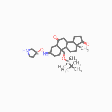 CC12CCC3C(CC(=O)C4C/C(=N\O[C@H]5CCNC5)CCC43CO[Si](C)(C)C(C)(C)C)C1CCC2=O